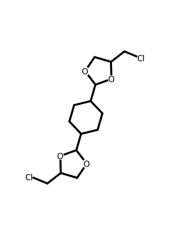 ClCC1COC(C2CCC(C3OCC(CCl)O3)CC2)O1